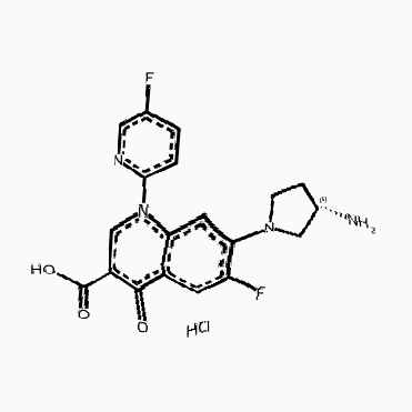 Cl.N[C@H]1CCN(c2cc3c(cc2F)c(=O)c(C(=O)O)cn3-c2ccc(F)cn2)C1